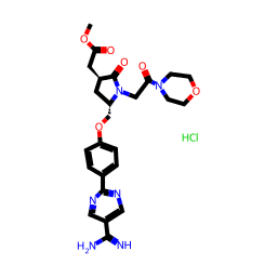 COC(=O)C[C@@H]1C[C@@H](COc2ccc(-c3ncc(C(=N)N)cn3)cc2)N(CC(=O)N2CCOCC2)C1=O.Cl